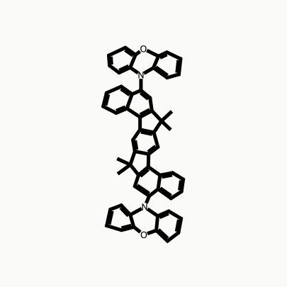 CC1(C)c2cc3c(cc2-c2c1cc(N1c4ccccc4Oc4ccccc41)c1ccccc21)C(C)(C)c1cc(N2c4ccccc4Oc4ccccc42)c2ccccc2c1-3